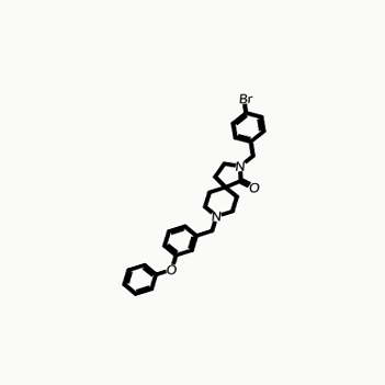 O=C1N(Cc2ccc(Br)cc2)CCC12CCN(Cc1cccc(Oc3ccccc3)c1)CC2